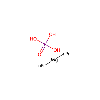 CC[CH2][Mg][CH2]CC.O=P(O)(O)O